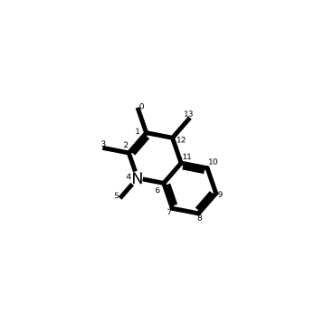 CC1=C(C)N(C)c2ccccc2C1C